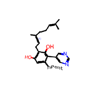 CCCCCc1cc(O)c(C/C=C(\C)CCC=C(C)C)c(O)c1-c1cncnc1